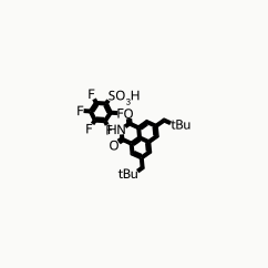 CC(C)(C)Cc1cc2c3c(cc(CC(C)(C)C)cc3c1)C(=O)NC2=O.O=S(=O)(O)c1c(F)c(F)c(F)c(F)c1F